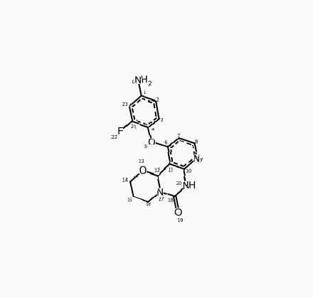 Nc1ccc(Oc2ccnc3c2C2OCCCN2C(=O)N3)c(F)c1